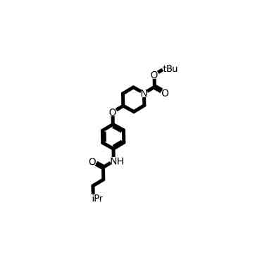 CC(C)CCC(=O)Nc1ccc(OC2CCN(C(=O)OC(C)(C)C)CC2)cc1